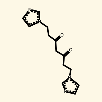 O=C(CCn1ccnc1)CC(=O)CCn1ccnc1